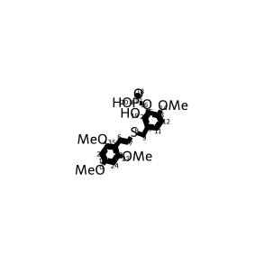 COc1cc(OC)c(C=CSCc2ccc(OC)c(OP(=O)(O)O)c2)c(OC)c1